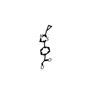 O=CC(=O)c1ccc(-c2cnc(C3CC3)s2)cc1